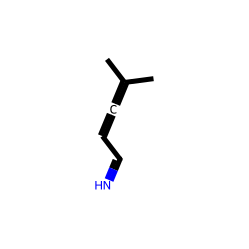 CC(C)=C=CC=N